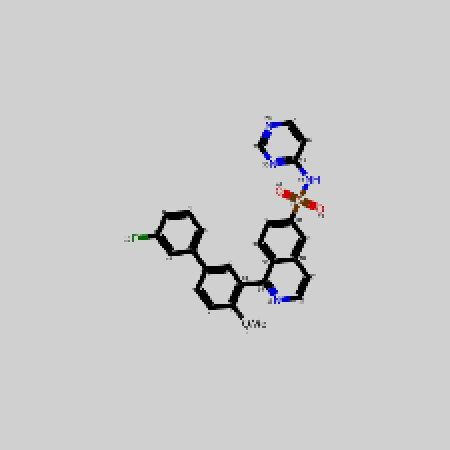 COc1ccc(-c2cccc(F)c2)cc1-c1nccc2cc(S(=O)(=O)Nc3ccncn3)ccc12